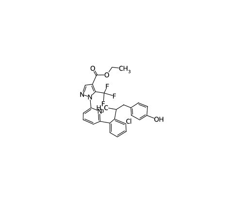 CCOC(=O)c1cnn(-c2cccc(-c3cccc(Cl)c3C(C)Cc3ccc(O)cc3)n2)c1C(F)(F)F